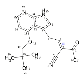 CC(=O)/C(C#N)=C/Cc1c[nH]c2nccc(OCC(C)(C)O)c12